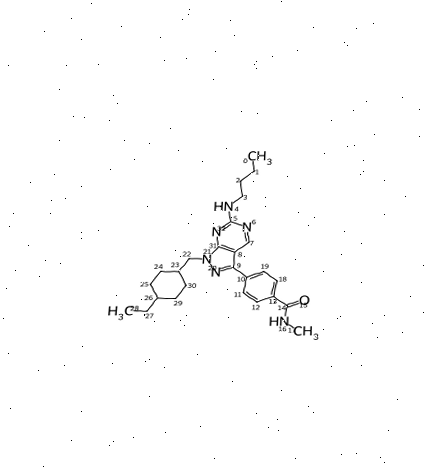 CCCCNc1ncc2c(-c3ccc(C(=O)NC)cc3)nn(CC3CCC(CC)CC3)c2n1